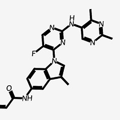 C=CC(=O)Nc1ccc2c(c1)c(C)cn2-c1nc(Nc2cnc(C)nc2C)ncc1F